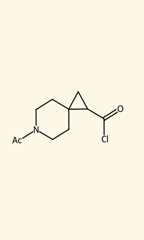 CC(=O)N1CCC2(CC1)CC2C(=O)Cl